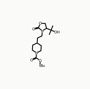 CC(C)(C)OC(=O)N1CCC(CCN2C(=O)OCC2C(C)(C)O)CC1